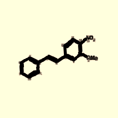 COc1cc(C=Cc2ccccc2)ccc1[N+](=O)[O-]